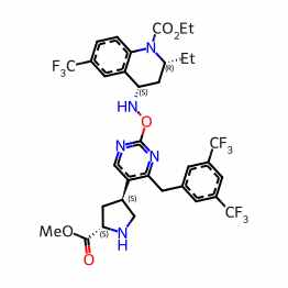 CCOC(=O)N1c2ccc(C(F)(F)F)cc2[C@@H](NOc2ncc([C@H]3CN[C@H](C(=O)OC)C3)c(Cc3cc(C(F)(F)F)cc(C(F)(F)F)c3)n2)C[C@H]1CC